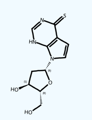 OC[C@H]1O[C@@H](n2ccc3c(=S)nc[nH]c32)C[C@@H]1O